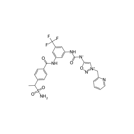 CC(c1ccc(C(=O)Nc2cc(NC(=O)[N-]c3c[n+](Cc4ccccn4)no3)cc(C(F)(F)F)c2)cc1)S(N)(=O)=O